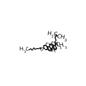 CCCCCCCCCO[C@H]1CC[C@@]2(C)C(=CC[C@H]3[C@@H]4CC[C@H]([C@H](C)CCCC(C)C)[C@@]4(C)CC[C@@H]32)C1